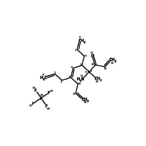 C=CCC(=CC(CC=C)[N+](C)(N)C(=O)C=C)CC=C.F[B-](F)(F)F